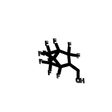 OCC1C(F)(F)C2(F)C(F)(F)C(F)(F)C1(F)C2(F)F